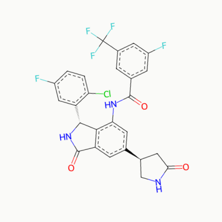 O=C1C[C@H](c2cc(NC(=O)c3cc(F)cc(C(F)(F)F)c3)c3c(c2)C(=O)N[C@@H]3c2cc(F)ccc2Cl)CN1